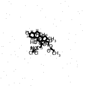 CCC(=O)OCC(=O)[C@@]1(OC(=O)CC)[C@@H](C)C[C@H]2[C@@H]3CCC4=CC(=O)C=C[C@]4(C)C3(Cl)[C@@H](O)C[C@@]21C.FC(Cl)(Cl)Cl